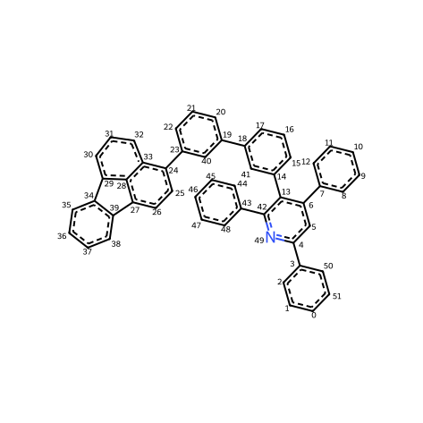 c1ccc(-c2cc(-c3ccccc3)c(-c3cccc(-c4cccc(-c5ccc6c7c(cccc57)-c5ccccc5-6)c4)c3)c(-c3ccccc3)n2)cc1